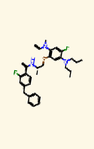 C=CN(C)c1cc(F)c(N(CCC)CCC)cc1SC[C@@H](C)NC(=C)c1ccc(Cc2ccccc2)cc1F